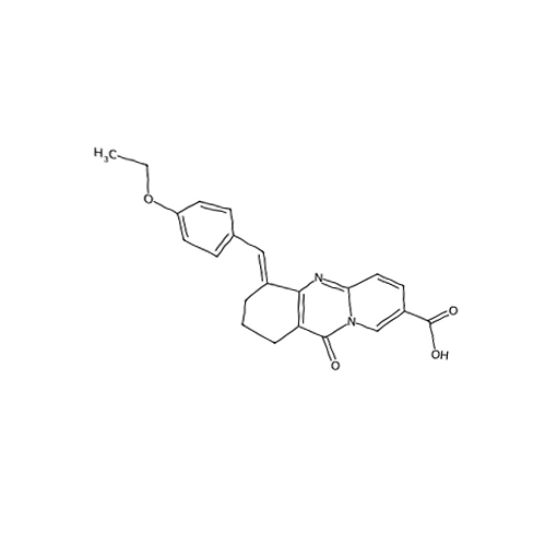 CCOc1ccc(C=C2CCCc3c2nc2ccc(C(=O)O)cn2c3=O)cc1